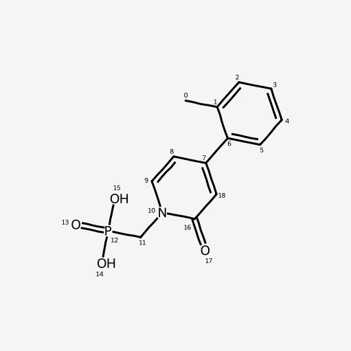 Cc1ccccc1-c1ccn(CP(=O)(O)O)c(=O)c1